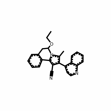 CCOC1Cc2ccccc2-c2c(C#N)c(-c3ccnc4ccccc34)c(C)n21